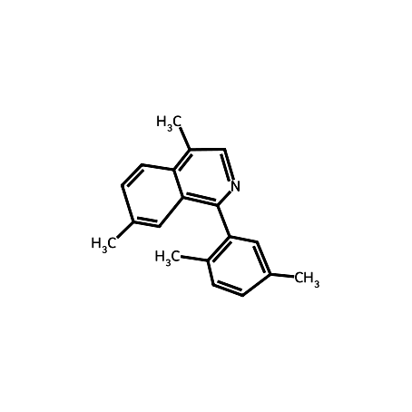 Cc1ccc(C)c(-c2ncc(C)c3ccc(C)cc23)c1